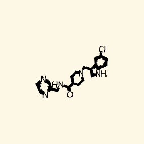 O=C(NCc1cnccn1)C1CCN(Cc2c[nH]c3ccc(Cl)cc23)CC1